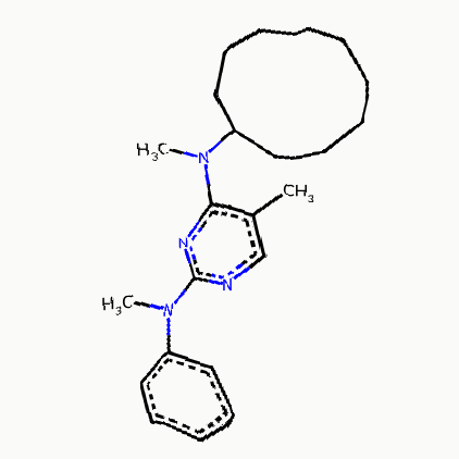 Cc1cnc(N(C)c2ccccc2)nc1N(C)C1CCCCCCCCC1